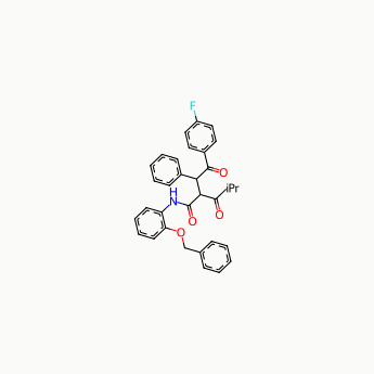 CC(C)C(=O)C(C(=O)Nc1ccccc1OCc1ccccc1)C(C(=O)c1ccc(F)cc1)c1ccccc1